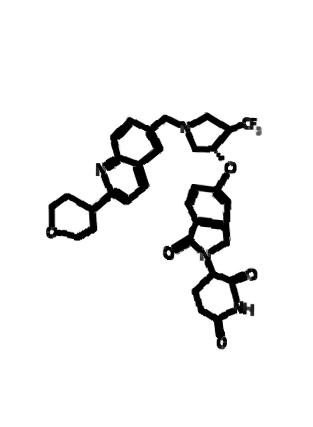 O=C1CCC(N2Cc3cc(O[C@@H]4CN(Cc5ccc6nc(C7CCOCC7)ccc6c5)CC4C(F)(F)F)ccc3C2=O)C(=O)N1